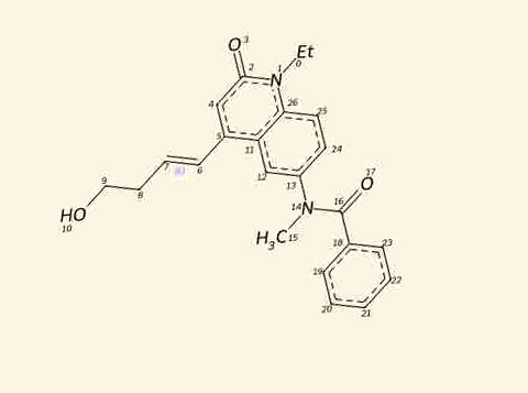 CCn1c(=O)cc(/C=C/CCO)c2cc(N(C)C(=O)c3ccccc3)ccc21